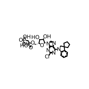 O=P(O)(O)CP(=O)(O)OC[C@H]1O[C@@H](n2cnc3c(N4CC5(CCCC5)c5ccccc54)nc(Cl)nc32)C(O)C1O